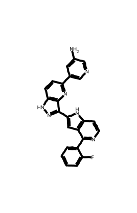 Nc1cncc(-c2ccc3[nH]nc(-c4cc5c(-c6ccccc6F)nccc5[nH]4)c3n2)c1